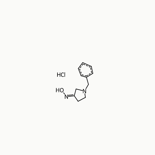 Cl.ON=C1CCN(Cc2ccccc2)C1